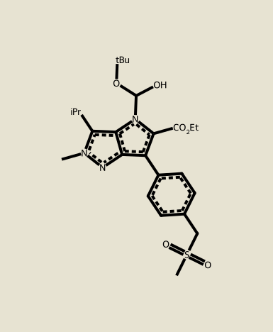 CCOC(=O)c1c(-c2ccc(CS(C)(=O)=O)cc2)c2nn(C)c(C(C)C)c2n1C(O)OC(C)(C)C